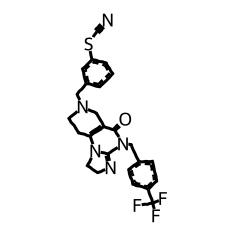 N#CSc1cccc(CN2CCC3=C(C2)C(=O)N(Cc2ccc(C(F)(F)F)cc2)C2=NCCN23)c1